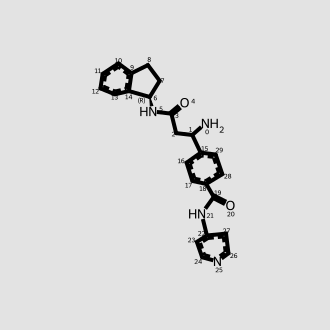 NC(CC(=O)N[C@@H]1CCc2ccccc21)c1ccc(C(=O)Nc2ccncc2)cc1